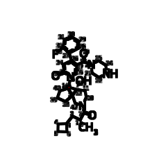 C[C@H](CC1CCC1)C(=O)N1CC[C@](O)(Cn2cc(C(=O)N3CCNCC3)c(-c3ccccc3F)cc2=O)C2(CCCC2)C1